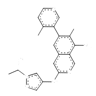 Cc1ccncc1-c1cc2cc(Nc3cnn([C@H](C)C#N)c3)ncc2c(N)c1F